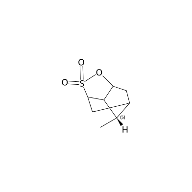 C[C@H]1C2CC3OS(=O)(=O)C(C2)C31